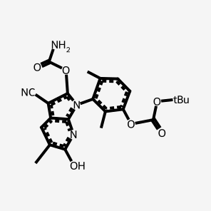 Cc1cc2c(C#N)c(OC(N)=O)n(-c3c(C)ccc(OC(=O)OC(C)(C)C)c3C)c2nc1O